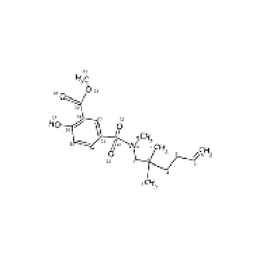 C=CCCC(C)(C)CN(C)S(=O)(=O)c1ccc(O)c(C(=O)OC)c1